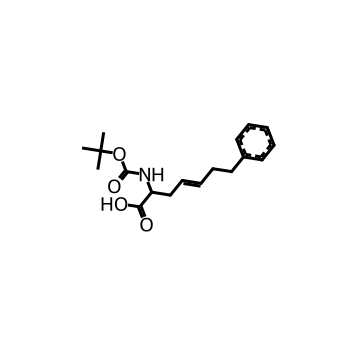 CC(C)(C)OC(=O)NC(CC=CCCc1ccccc1)C(=O)O